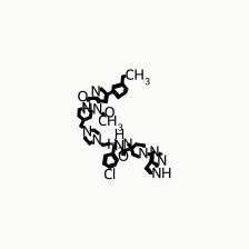 CCc1cccc(-c2cnc(C(=O)N3CCC(CN4CCN(CC[C@H](NC(=O)C5(N)CCN(c6ncnc7[nH]ccc67)CC5)c5ccc(Cl)cc5)CC4)CC3)c(NC(C)=O)c2)c1